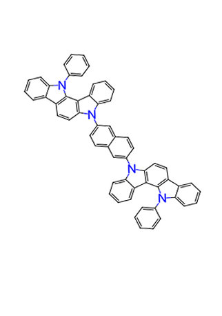 c1ccc(-n2c3ccccc3c3ccc4c(c5ccccc5n4-c4ccc5cc(-n6c7ccccc7c7c6ccc6c8ccccc8n(-c8ccccc8)c67)ccc5c4)c32)cc1